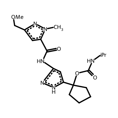 COCc1cc(C(=O)Nc2cc(C3(OC(=O)NC(C)C)CCCC3)[nH]n2)n(C)n1